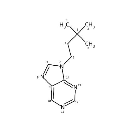 CC(C)(C)CCn1cnc2cncnc21